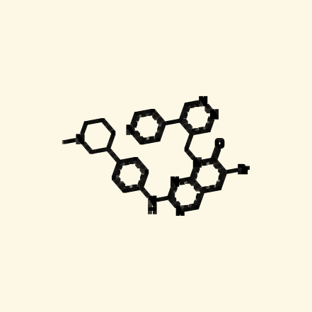 CN1CCCC(c2ccc(Nc3ncc4cc(Br)c(=O)n(Cc5cnncc5-c5ccncc5)c4n3)cc2)C1